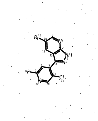 Fc1cc(-c2n[nH]c3ncc(Br)cc23)c(Cl)cn1